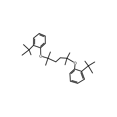 CC(C)(CCC(C)(C)Oc1ccccc1C(C)(C)C)Oc1ccccc1C(C)(C)C